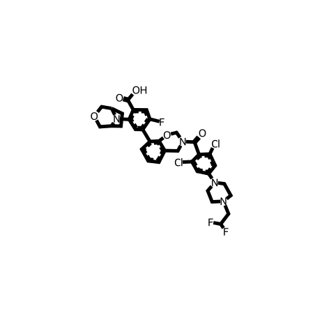 O=C(O)c1cc(F)c(-c2cccc3c2OCN(C(=O)c2c(Cl)cc(N4CCN(CC(F)F)CC4)cc2Cl)C3)cc1N1C2CCC1COC2